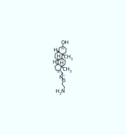 C[C@]12CC[C@H](O)C[C@H]1CC[C@@H]1[C@@H]2CC[C@]2(C)[C@@H](/C=N/OCCN)CC[C@@H]12